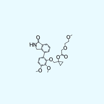 COCCOCC(=O)OC1(COc2c(-c3cccc4c3CNC4=O)ccc(OC)c2OC)CC1